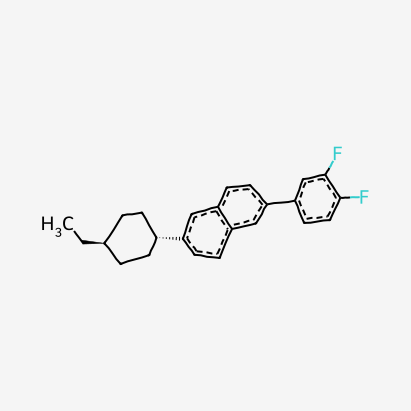 CC[C@H]1CC[C@H](c2ccc3cc(-c4ccc(F)c(F)c4)ccc3c2)CC1